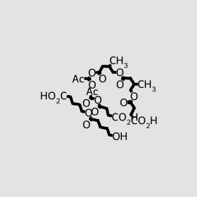 CC(=O)C(=O)OC(=O)CC(C)COC(=O)CC(C)COC(=O)CCC(=O)O.CC(=O)C(=O)OC(=O)CCC(=O)O.O=C(O)CCCCOC(=O)CCCCO